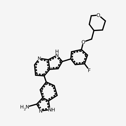 Nc1n[nH]c2ccc(-c3ccnc4[nH]c(-c5cc(F)cc(OCC6CCOCC6)c5)cc34)cc12